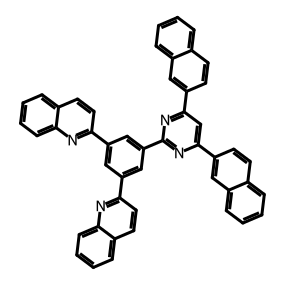 c1ccc2cc(-c3cc(-c4ccc5ccccc5c4)nc(-c4cc(-c5ccc6ccccc6n5)cc(-c5ccc6ccccc6n5)c4)n3)ccc2c1